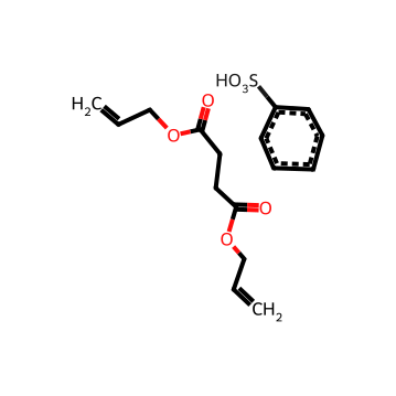 C=CCOC(=O)CCC(=O)OCC=C.O=S(=O)(O)c1ccccc1